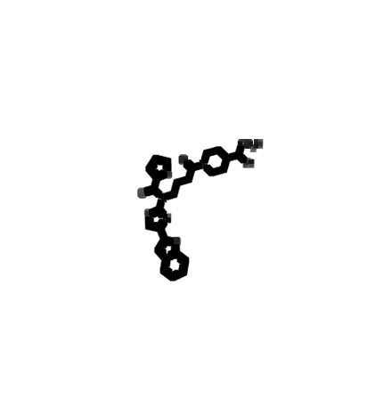 CCC(C(=O)O)C1CCN(C(=O)CCCN(C(=O)c2cccs2)c2nc(-c3cc4ccccc4o3)cs2)CC1